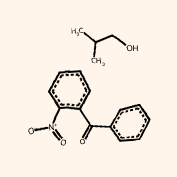 CC(C)CO.O=C(c1ccccc1)c1ccccc1[N+](=O)[O-]